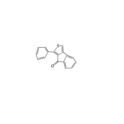 O=C1c2ccccc2-c2csc(-c3ccccc3)c21